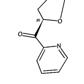 O=C(c1ccccn1)[C@H]1CCCO1